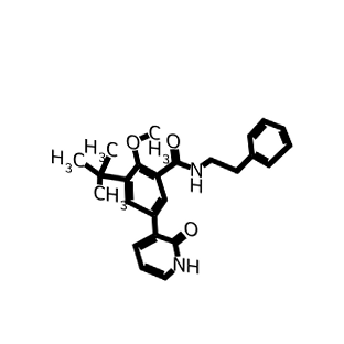 COc1c(C(=O)NCCc2ccccc2)cc(-c2ccc[nH]c2=O)cc1C(C)(C)C